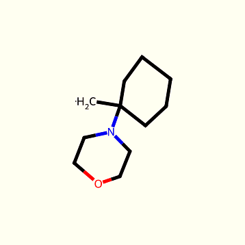 [CH2]C1(N2CCOCC2)CCCCC1